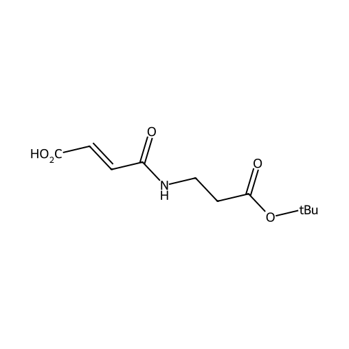 CC(C)(C)OC(=O)CCNC(=O)C=CC(=O)O